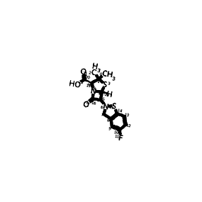 CC1(C)S[C@@H]2C(N3Cc4cc(F)ccc4S3)C(=O)N2[C@H]1C(=O)O